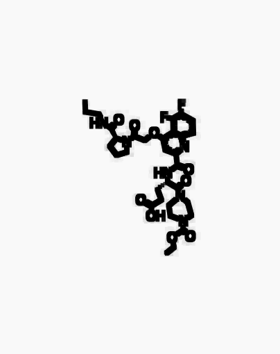 CCCNC(=O)[C@@H]1CCCN1C(=O)COc1cc(C(=O)N[C@@H](CCC(=O)O)C(=O)N2CCN(C(=O)OCC)CC2)nc2ccc(F)c(F)c12